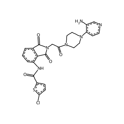 Nc1cnccc1N1CCN(C(=O)CN2C(=O)c3cccc(NC(=O)c4ccc(Cl)s4)c3C2=O)CC1